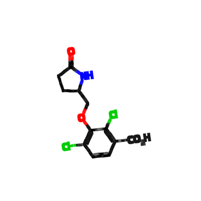 O=C1CCC(COc2c(Cl)ccc(C(=O)O)c2Cl)N1